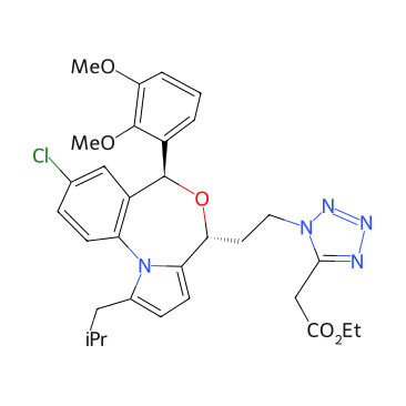 CCOC(=O)Cc1nnnn1CC[C@H]1O[C@H](c2cccc(OC)c2OC)c2cc(Cl)ccc2-n2c(CC(C)C)ccc21